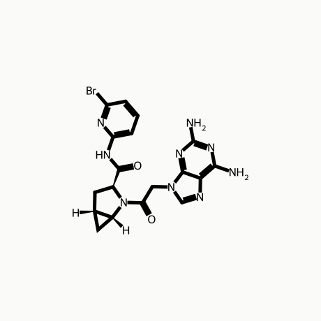 Nc1nc(N)c2ncn(CC(=O)N3[C@@H]4C[C@@H]4C[C@H]3C(=O)Nc3cccc(Br)n3)c2n1